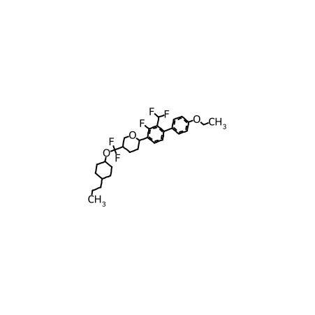 CCCC1CCC(OC(F)(F)C2CCC(c3ccc(-c4ccc(OCC)cc4)c(C(F)F)c3F)OC2)CC1